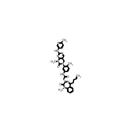 C=CCCC1=N[C@@H](CC(=O)Nc2ccc(C)c(N3Cc4cnc(Nc5ccc(C)nc5)nc4N(C)C3=O)c2)C(=O)N(C)c2ccccc21